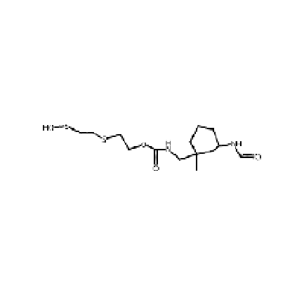 CC1(CNC(=O)OCCSCCSO)CCCC(NC=O)C1